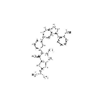 COc1ccccc1-c1n[nH]c2ncc(-c3cccc(C(C(=O)N4CCC(N(C)C)C4)N(C)C)c3)cc12